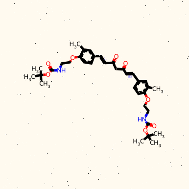 Cc1cc(/C=C/C(=O)CC(=O)/C=C/c2ccc(OCCNC(=O)OC(C)(C)C)c(C)c2)ccc1OCCNC(=O)OC(C)(C)C